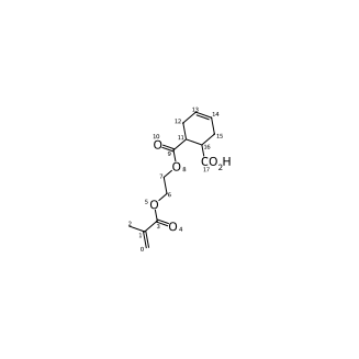 C=C(C)C(=O)OCCOC(=O)C1CC=CCC1C(=O)O